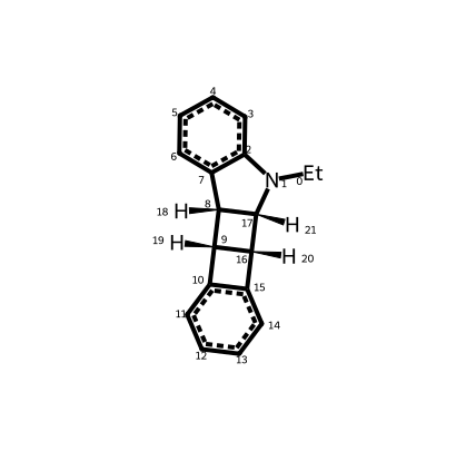 CCN1c2ccccc2[C@H]2[C@H]3c4ccccc4[C@H]3[C@H]21